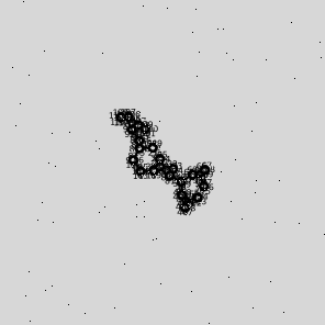 c1ccc(-c2cc(-c3cccc(-c4cccc(-c5ccc6c7c(c8ccccc8c6c5)-c5cccc6c(-c8cc(-c9ccc%10c%11ccccc%11n(-c%11ccccc%11)c%10c9)cc(-c9ccc%10c%11ccccc%11n(-c%11ccccc%11)c%10c9)c8)ccc-7c56)c4)c3)cc3cc(-c4ccc5c6c(cc7ccccc7c46)-c4ccc6ccccc6c4-5)ccc23)cc1